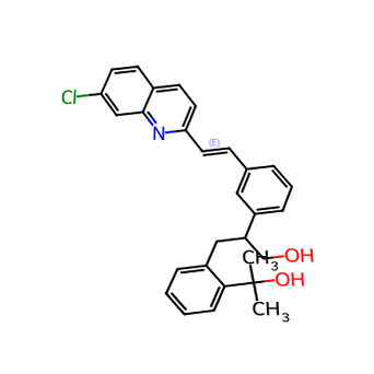 CC(C)(O)c1ccccc1CC(CO)c1cccc(/C=C/c2ccc3ccc(Cl)cc3n2)c1